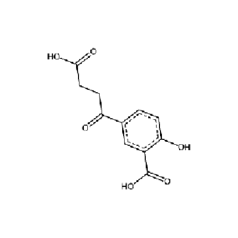 O=C(O)CCC(=O)c1ccc(O)c(C(=O)O)c1